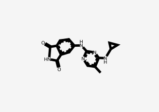 Cc1cnc(Nc2ccc3c(c2)C(=O)NC3=O)nc1NC1CC1